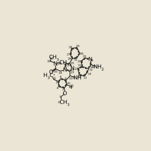 CCOc1cc(CC)cc(C(Nc2ccc3c(N)nccc3c2)c2nc(-c3ccccc3)cn2CC(=O)N(C)CC)c1F